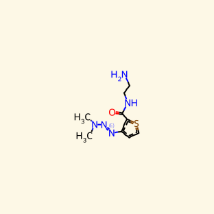 CN(C)/N=N/c1ccsc1C(=O)NCCN